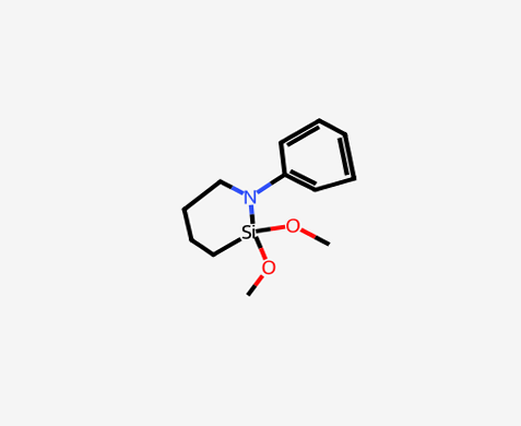 CO[Si]1(OC)CCCCN1c1ccccc1